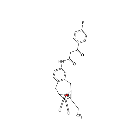 O=C(CC(=O)c1ccc(F)cc1)Nc1ccc2c(c1)CC1CCC(C2)C12CN(CC(F)(F)F)S(=O)(=O)N2